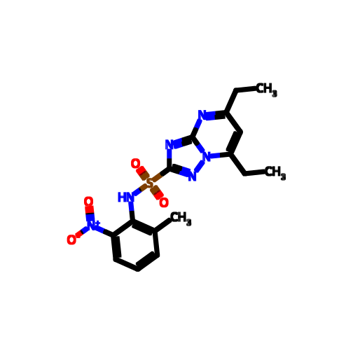 CCc1cc(CC)n2nc(S(=O)(=O)Nc3c(C)cccc3[N+](=O)[O-])nc2n1